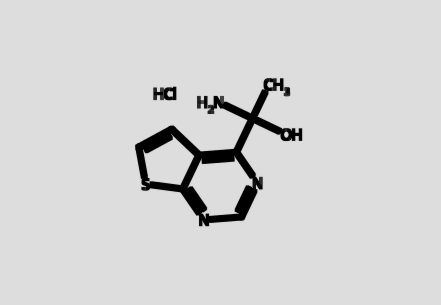 CC(N)(O)c1ncnc2sccc12.Cl